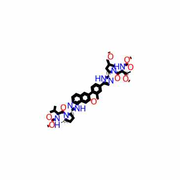 COCC1C[C@@H](c2ncc(-c3ccc4c(c3)COc3cc5c(ccc6nc([C@@H]7CC[C@H](C)N7C(=O)C(NC(=O)OC)C(C)C)[nH]c65)cc3-4)[nH]2)N(C(=O)C(NC(=O)OC)[C@@H](C)OC)C1